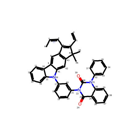 C=CC1=C(/C=C\C)c2cc3c4ccccc4n(-c4cccc(-n5c(=O)c6ccccc6n(-c6ccccc6)c5=O)c4)c3cc2C1(C)C